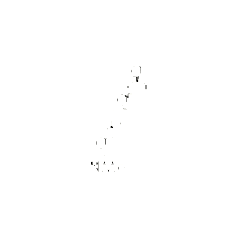 CNCCOCCOCCOCCC(=O)I